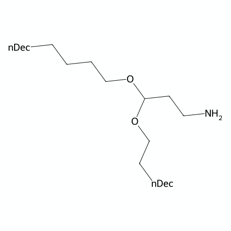 CCCCCCCCCCCCCCOC(CCN)OCCCCCCCCCCCC